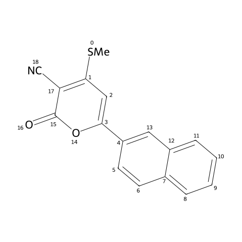 CSc1cc(-c2ccc3ccccc3c2)oc(=O)c1C#N